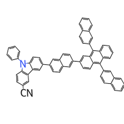 N#Cc1ccc2c(c1)c1cc(-c3ccc4cc(-c5ccc6c(-c7ccc8ccccc8c7)c7ccccc7c(-c7ccc8ccccc8c7)c6c5)ccc4c3)ccc1n2-c1ccccc1